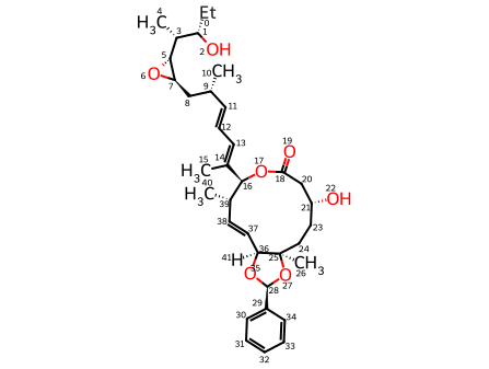 CC[C@H](O)[C@@H](C)[C@H]1O[C@@H]1C[C@H](C)/C=C/C=C(\C)[C@H]1OC(=O)C[C@H](O)CC[C@@]2(C)O[C@@H](c3ccccc3)O[C@H]2/C=C/[C@@H]1C